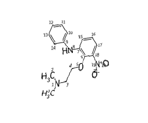 CN(C)CCOc1c(Nc2ccccc2)cccc1[N+](=O)[O-]